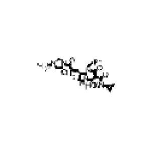 CC(C)Cn1c(=O)c(C(=O)NC2CC2)c(O)n2ncc(/C=C/C(=O)N3CCN(C)C[C@@H]3C)c12